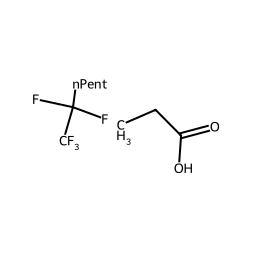 CCC(=O)O.CCCCCC(F)(F)C(F)(F)F